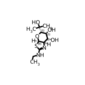 CCNC1=N[C@@H]2[C@@H](O)[C@H](O)[C@@H](C(C)(C)O)O[C@@H]2S1